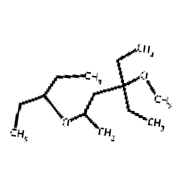 CCC(CC)OC(C)CC(CC)(CC)OC